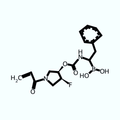 C=CC(=O)N1C[C@H](F)[C@H](OC(=O)NC(Cc2ccccc2)B(O)O)C1